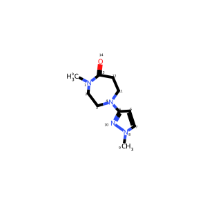 CN1CCN(c2ccn(C)n2)CCC1=O